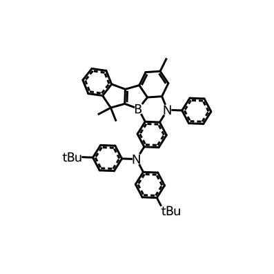 CC1=CC2C3B(C4=C(C3=C1)c1ccccc1C4(C)C)c1cc(N(c3ccc(C(C)(C)C)cc3)c3ccc(C(C)(C)C)cc3)ccc1N2c1ccccc1